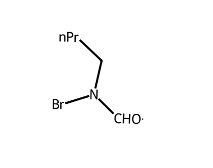 CCCCN(Br)[C]=O